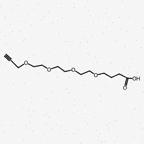 C#CCOCCOCCOCCOCCCC(=O)O